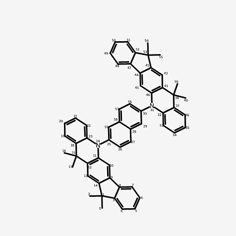 CC1(C)c2ccccc2-c2cc3c(cc21)C(C)(C)c1ccccc1N3c1ccc2cc(N3c4ccccc4C(C)(C)c4cc5c(cc43)-c3ccccc3C5(C)C)ccc2c1